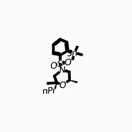 CCC[C@@]1(C)CN(S(=O)(=O)c2cccc[c]2[Sn]([CH3])([CH3])[CH3])C[C@@H](C)O1